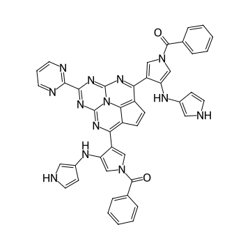 O=C(c1ccccc1)n1cc(Nc2cc[nH]c2)c(-c2nc3nc(-c4ncccn4)nc4nc(-c5cn(C(=O)c6ccccc6)cc5Nc5cc[nH]c5)c5ccc2c5n34)c1